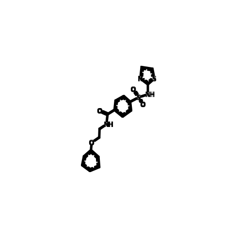 O=C(NCCOc1ccccc1)c1ccc(S(=O)(=O)Nc2nccs2)cc1